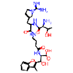 Cc1c(C(O)C(NC(=O)CCCNC(=O)C(CC2=CCN(C(=N)N)C2)NC(=O)C(N)C(C)O)C(=O)O)oc2ccccc12